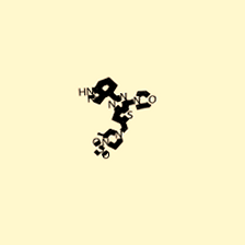 C[C@H]1CN(Cc2cc3nc(-c4cccc5[nH]ncc45)nc(N4CCOCC4)c3s2)CCN1S(C)(=O)=O